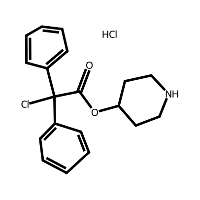 Cl.O=C(OC1CCNCC1)C(Cl)(c1ccccc1)c1ccccc1